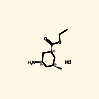 CCOC(=O)[C@@H]1C[C@H](C)C[C@@H](N)C1.Cl